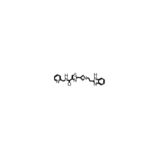 O=C(NCc1ccccn1)c1csc(C2CN(CCc3nc4ccccc4[nH]3)C2)n1